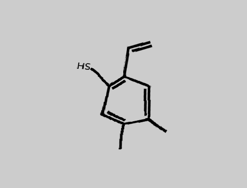 C=Cc1cc(C)c(C)cc1S